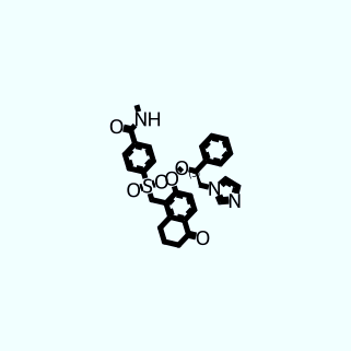 CNC(=O)c1ccc(S(=O)(=O)Cc2c(OO[C@H](Cn3ccnc3)c3ccccc3)ccc3c2CCCC3=O)cc1